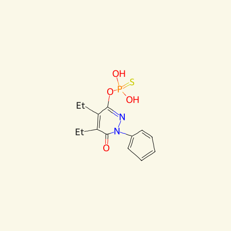 CCc1c(OP(O)(O)=S)nn(-c2ccccc2)c(=O)c1CC